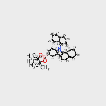 CC1(C)OB(c2ccc3c(c2)c2ccc4ccccc4c2n3-c2cccc3ccccc23)OC1(C)C